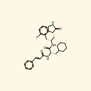 O=C(C=Cc1ccccc1)N[C@@H](CC1CCCCC1)C(=O)N[C@H](Cc1ccccc1F)C[C@@H]1CCNC1=O